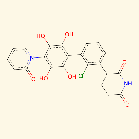 O=C1CCC(c2cccc(-c3c(O)c(O)c(-n4ccccc4=O)c(O)c3O)c2Cl)C(=O)N1